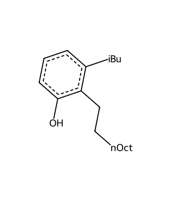 CCCCCCCCCCc1c(O)cccc1C(C)CC